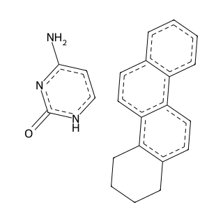 Nc1cc[nH]c(=O)n1.c1ccc2c(c1)ccc1c3c(ccc12)CCCC3